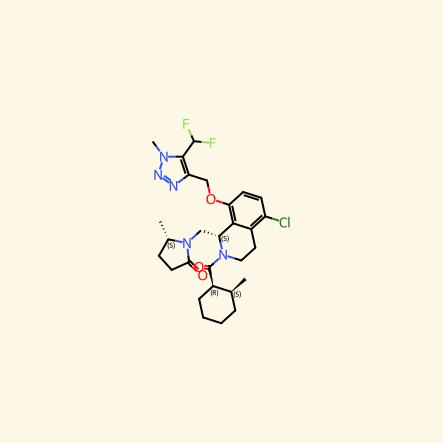 C[C@H]1CCCC[C@H]1C(=O)N1CCc2c(Cl)ccc(OCc3nnn(C)c3C(F)F)c2[C@H]1CN1C(=O)CC[C@@H]1C